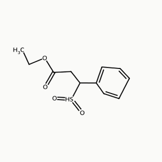 CCOC(=O)CC(c1ccccc1)[SH](=O)=O